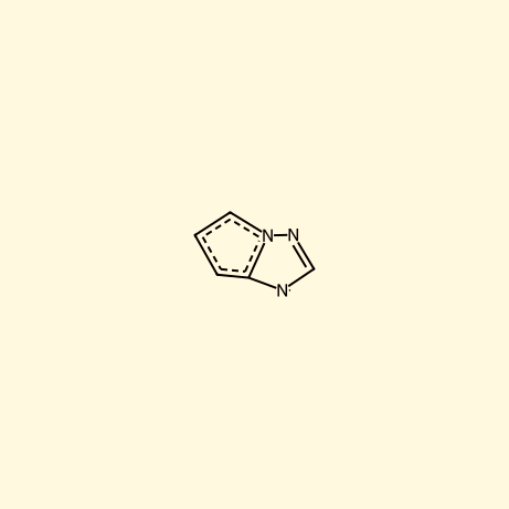 C1=Nn2cccc2[N]1